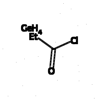 CCC(=O)Cl.[GeH4]